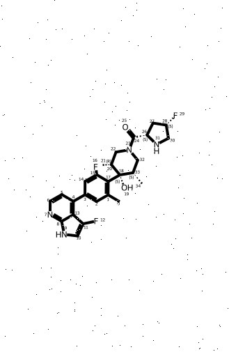 Cc1cc(-c2ccnc3[nH]cc(F)c23)cc(F)c1[C@@]1(O)[C@H](C)CN(C(=O)[C@@H]2C[C@H](F)CN2)C[C@@H]1C